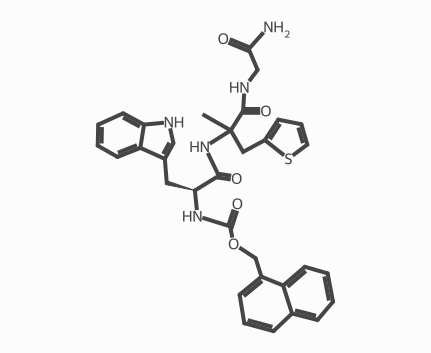 CC(Cc1cccs1)(NC(=O)[C@H](Cc1c[nH]c2ccccc12)NC(=O)OCc1cccc2ccccc12)C(=O)NCC(N)=O